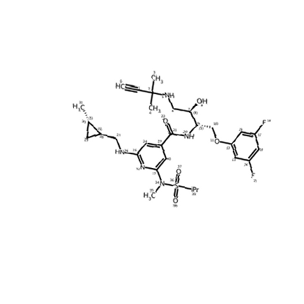 C#CC(C)(C)NC[C@@H](O)[C@H](COc1cc(F)cc(F)c1)NC(=O)c1cc(NC[C@H]2C[C@@H]2C)nc(N(C)S(=O)(=O)C(C)C)c1